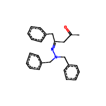 CC(=O)CC(Cc1ccccc1)=NN(Cc1ccccc1)Cc1ccccc1